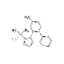 Cc1ccc(-c2ccccc2)c(-c2nnn[n]2[Sn]([CH3])([CH3])[CH3])c1